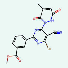 COC(=O)c1cccc(-c2nc(S)c(C#N)c(-n3[nH]c(=O)cc(C)c3=O)n2)c1